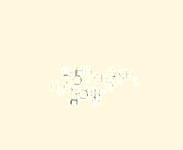 COC(=O)C1CCC(CNC(=O)c2ccc(N[C@@H](C)c3cc(CC(C)O)ccc3OC)c(Cl)c2)CC1